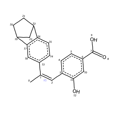 C/C(=C/c1ccc(C(=O)O)cc1O)c1ccc2c(c1)C1CCC2C1